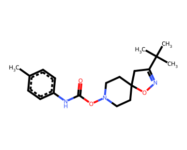 Cc1ccc(NC(=O)ON2CCC3(CC2)CC(C(C)(C)C)=NO3)cc1